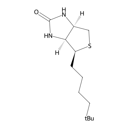 CC(C)(C)CCCC[C@@H]1SC[C@@H]2NC(=O)N[C@@H]21